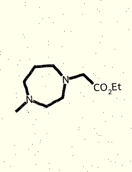 CCOC(=O)CN1CCCN(C)CC1